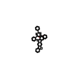 c1ccc(-c2cc(-c3ccccc3-n3c4ccccc4c4cc5oc6ccccc6c5cc43)nc(-c3ccccc3)n2)cc1